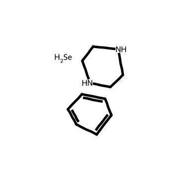 C1CNCCN1.[SeH2].c1ccccc1